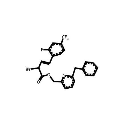 CC(C)C(C=Cc1ccc(C(F)(F)F)cc1F)C(=O)OCc1cccc(Cc2ccccc2)n1